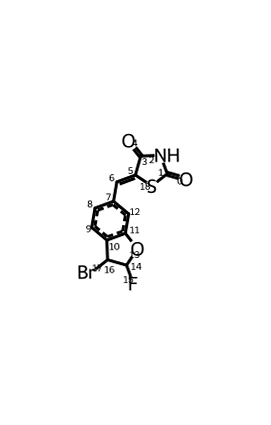 O=C1NC(=O)C(=Cc2ccc3c(c2)OC(F)C3Br)S1